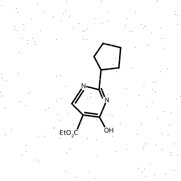 CCOC(=O)c1cnc(C2CCCC2)nc1O